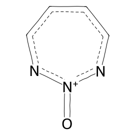 O=[n+]1nccccn1